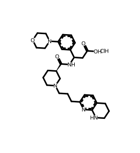 Cl.O=C(O)CC(NC(=O)[C@@H]1CCCN(CCCc2ccc3c(n2)NCCC3)C1)c1cccc(N2CCOCC2)c1